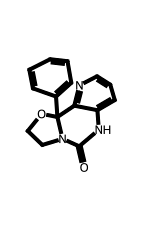 O=C1Nc2cccnc2C2(c3ccccc3)OCCN12